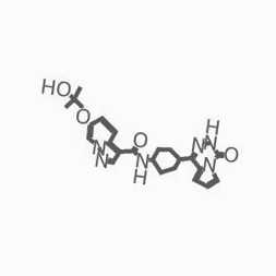 CC(C)(O)COc1ccc2c(C(=O)NC3CCC(c4n[nH]c(=O)n5cccc45)CC3)cnn2c1